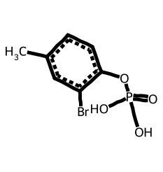 Cc1ccc(OP(=O)(O)O)c(Br)c1